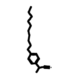 [C]#CC(C)c1ccc(CCCCCCCCCC)cc1